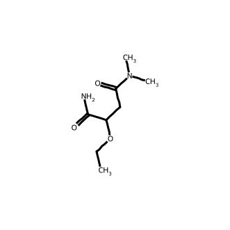 CCOC(CC(=O)N(C)C)C(N)=O